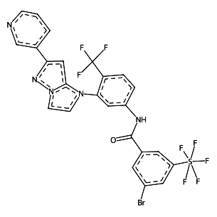 O=C(Nc1ccc(C(F)(F)F)c(-n2ccn3nc(-c4cccnc4)cc23)c1)c1cc(Br)cc(S(F)(F)(F)(F)F)c1